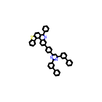 c1ccc(-c2cccc(-c3cc(-c4ccc(-c5ccc6c(c5)nc(-c5ccccc5)c5ccc7sc8ccccc8c7c56)cc4)nc(-c4cccc(-c5ccccc5)c4)n3)c2)cc1